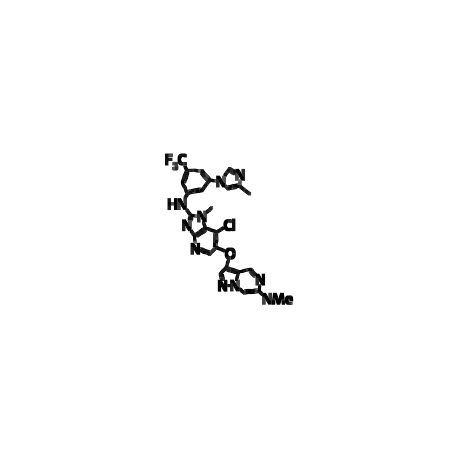 CNc1cn2ncc(Oc3cnc4nc(Nc5cc(-n6cnc(C)c6)cc(C(F)(F)F)c5)n(C)c4c3Cl)c2cn1